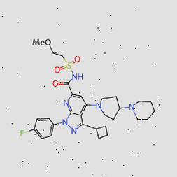 COCCS(=O)(=O)NC(=O)c1cc(N2CCC(N3CCCCC3)CC2)c2c(C3CCC3)nn(-c3ccc(F)cc3)c2n1